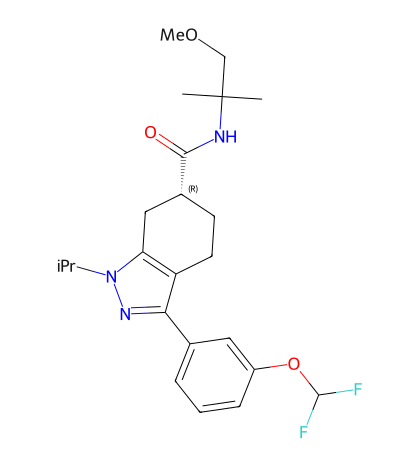 COCC(C)(C)NC(=O)[C@@H]1CCc2c(-c3cccc(OC(F)F)c3)nn(C(C)C)c2C1